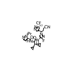 CC(C)n1nccc1C(=O)N[C@H](C(=O)Nc1cn(C(CCC#N)c2cnnn2CC(F)(F)F)nc1F)C(C1CC1)C1CC1